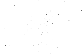 Cc1cc(-c2[nH]c(C(F)(F)F)nc2-c2ccc(S(C)(=O)=O)c(F)c2)ccc1C(F)(F)F